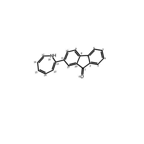 O=C1c2ccccc2-c2ccc(C3=CC=CC=CN3)cc21